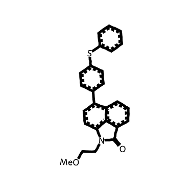 COCCN1C(=O)c2cccc3c(-c4ccc(Sc5ccccc5)cc4)ccc1c23